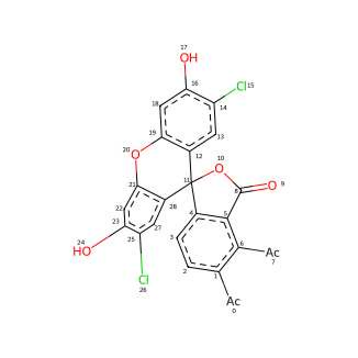 CC(=O)c1ccc2c(c1C(C)=O)C(=O)OC21c2cc(Cl)c(O)cc2Oc2cc(O)c(Cl)cc21